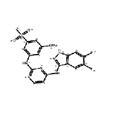 COc1cc(Nc2nccc(Nc3n[nH]c4cc(F)c(F)cc34)n2)cc(S(C)(=O)=O)c1